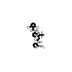 Nc1ncccc1NC(=O)Cc1c(C(F)(F)F)nc2c(NC(=O)c3c(Cl)cccc3Cl)cccn12